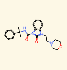 CC(C)(NC(=O)n1c(=O)n(CCN2CCOCC2)c2ccccc21)c1ccccc1